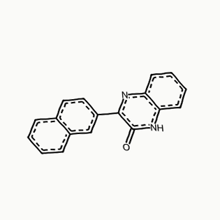 O=c1[nH]c2ccccc2nc1-c1ccc2ccccc2c1